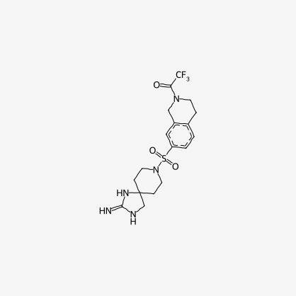 N=C1NCC2(CCN(S(=O)(=O)c3ccc4c(c3)CN(C(=O)C(F)(F)F)CC4)CC2)N1